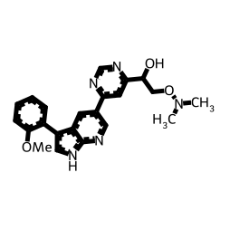 COc1ccccc1-c1c[nH]c2ncc(-c3cc(C(O)CON(C)C)ncn3)cc12